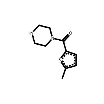 Cc1ccc(C(=O)N2CCNCC2)s1